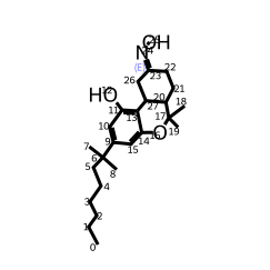 CCCCCCC(C)(C)c1cc(O)c2c(c1)OC(C)(C)C1CC/C(=N\O)CC21